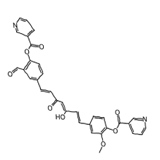 COc1cc(/C=C/C(O)=C/C(=O)/C=C/c2ccc(OC(=O)c3cccnc3)c(C=O)c2)ccc1OC(=O)c1cccnc1